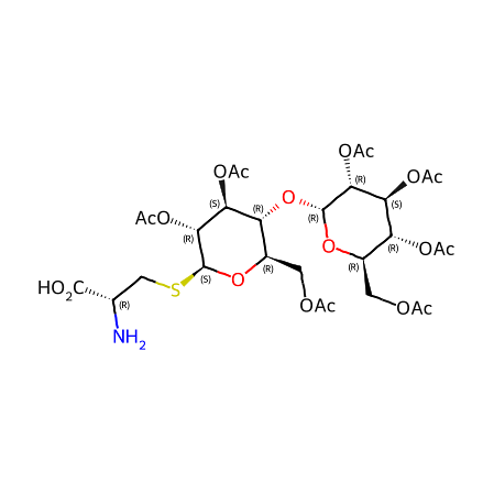 CC(=O)OC[C@H]1O[C@@H](SC[C@H](N)C(=O)O)[C@H](OC(C)=O)[C@@H](OC(C)=O)[C@@H]1O[C@H]1O[C@H](COC(C)=O)[C@@H](OC(C)=O)[C@H](OC(C)=O)[C@H]1OC(C)=O